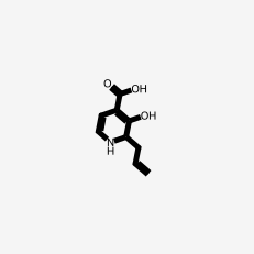 C=CCC1NC=CC(C(=O)O)=C1O